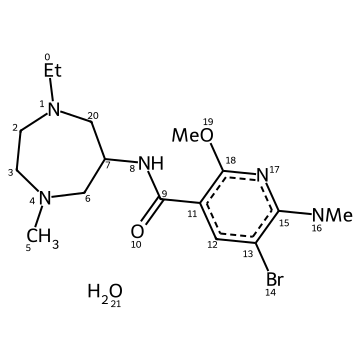 CCN1CCN(C)CC(NC(=O)c2cc(Br)c(NC)nc2OC)C1.O